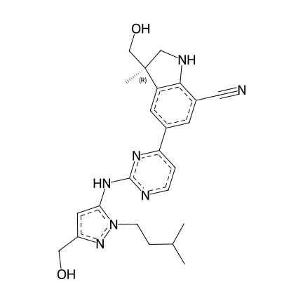 CC(C)CCn1nc(CO)cc1Nc1nccc(-c2cc(C#N)c3c(c2)[C@@](C)(CO)CN3)n1